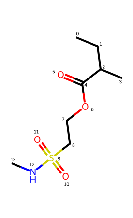 CCC(C)C(=O)OCCS(=O)(=O)NC